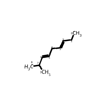 CCC=CCC=C[C](C)C